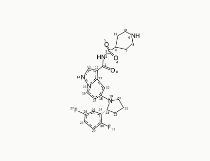 O=C(NS(=O)(=O)C1CCNCC1)c1cnn2ccc(N3CCC[C@@H]3c3cc(F)ccc3F)cc12